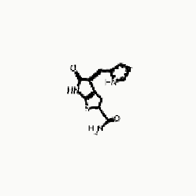 NC(=O)C1CC2=C(NC(=O)C2=Cc2ccc[nH]2)S1